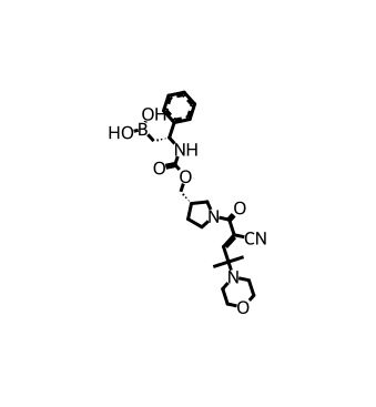 CC(C)(C=C(C#N)C(=O)N1CC[C@H](COC(=O)N[C@H](CB(O)O)c2ccccc2)C1)N1CCOCC1